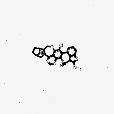 N#Cc1c(N)sc2cccc(-c3c(Cl)c4c5c(ncnc5c3F)N3CC5CCC(N5)C3CO4)c12